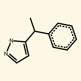 CC(C1=CC=N[N]1)c1ccccc1